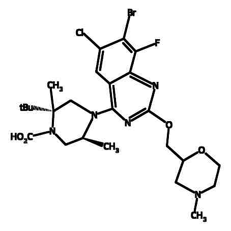 C[C@H]1CN(C(=O)O)[C@](C)(C(C)(C)C)CN1c1nc(OCC2CN(C)CCO2)nc2c(F)c(Br)c(Cl)cc12